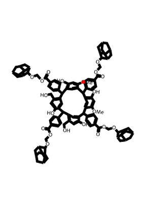 COc1cc(O)c2cc1C(c1ccc(C(=O)OCOC3C4CC5CC(C4)CC3C5)cc1)c1cc(c(OC)cc1O)C(c1ccc(C(=O)OCOC3C4CC5CC(C4)CC3C5)cc1)c1cc(c(CO)cc1O)C(c1ccc(C(=O)OCOC3C4CC5CC(C4)CC3C5)cc1)c1cc(c(CO)cc1O)C2c1ccc(C(=O)OCOC2C3CC4CC(C3)CC2C4)cc1